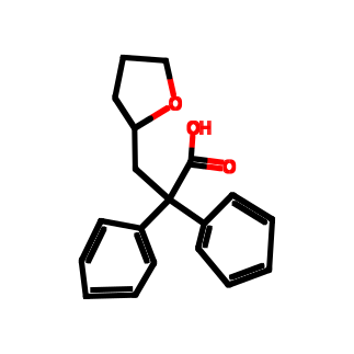 O=C(O)C(CC1CCCO1)(c1ccccc1)c1ccccc1